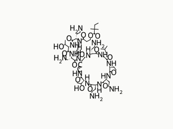 CC[C@@H]1NC(=O)[C@@H](CC(C)C)NC(=O)[C@@H](CCN)NC(=O)[C@@H](NC(=O)[C@H](CN)NC(=O)[C@@H](NC(=O)[C@H](CCN)NC(=O)CCOC(=O)C(C)(C)CC)C(C)O)CCNC(=O)[C@H](C(C)O)NC(=O)[C@H](CCN)NC(=O)[C@H](CCN)NC1=O